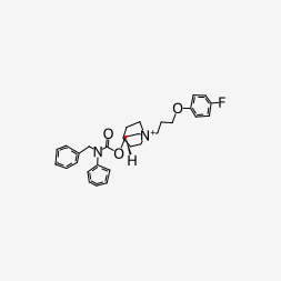 O=C(O[C@H]1C[N+]2(CCCOc3ccc(F)cc3)CCC1CC2)N(Cc1ccccc1)c1ccccc1